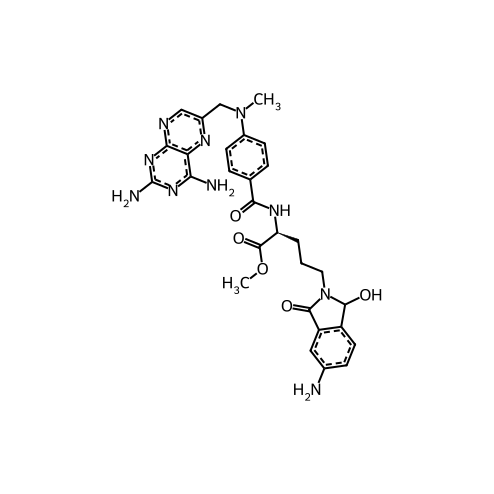 COC(=O)[C@H](CCCN1C(=O)c2cc(N)ccc2C1O)NC(=O)c1ccc(N(C)Cc2cnc3nc(N)nc(N)c3n2)cc1